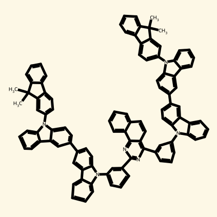 CC1(C)c2ccccc2-c2ccc(-n3c4ccccc4c4cc(-c5ccc6c(c5)c5ccccc5n6-c5cccc(-c6nc(-c7cccc(-n8c9ccccc9c9cc(-c%10ccc%11c(c%10)c%10ccccc%10n%11-c%10ccc%11c(c%10)C(C)(C)c%10ccccc%10-%11)ccc98)c7)c7ccc8ccccc8c7n6)c5)ccc43)cc21